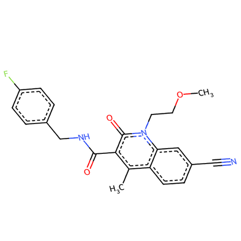 COCCn1c(=O)c(C(=O)NCc2ccc(F)cc2)c(C)c2ccc(C#N)cc21